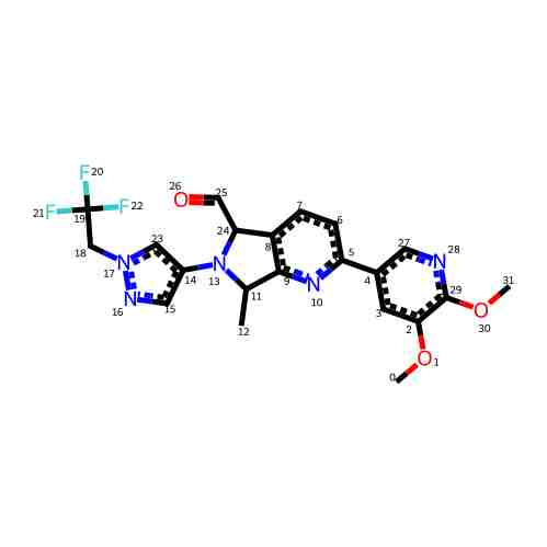 COc1cc(-c2ccc3c(n2)C(C)N(c2cnn(CC(F)(F)F)c2)C3C=O)cnc1OC